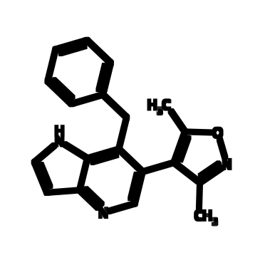 Cc1noc(C)c1-c1cnc2cc[nH]c2c1Cc1ccccc1